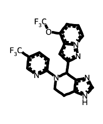 FC(F)(F)Oc1cccn2nc(C3c4nc[nH]c4CCN3c3ccc(C(F)(F)F)cn3)cc12